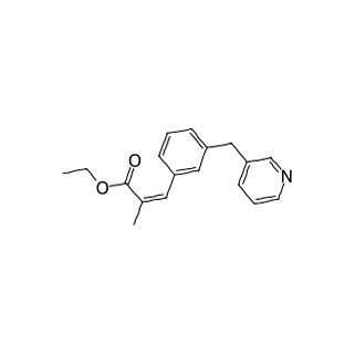 CCOC(=O)C(C)=Cc1cccc(Cc2cccnc2)c1